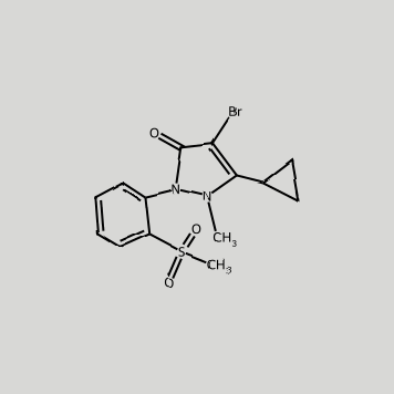 Cn1c(C2CC2)c(Br)c(=O)n1-c1ccccc1S(C)(=O)=O